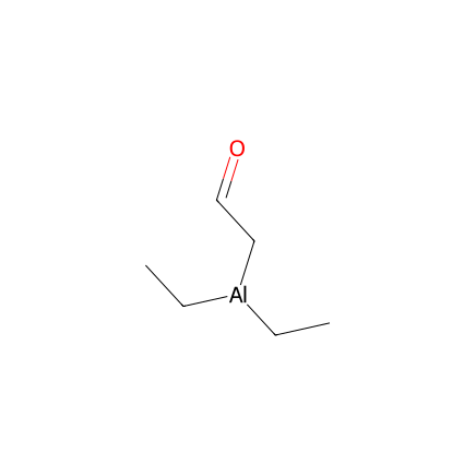 C[CH2][Al]([CH2]C)[CH2]C=O